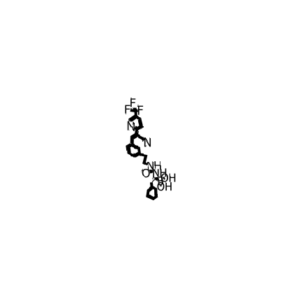 N#CC(=Cc1cccc(CCNC(=O)N[C@@H](Cc2ccccc2)B(O)O)c1)c1ccc(C(F)(F)F)cn1